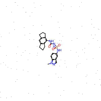 Cn1ncc2cc(NS(=O)(=O)NC(=O)Nc3c4c(cc5c3CCC5)CCC4)ccc21